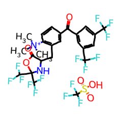 C[N+](C)(C)c1ccc(C(=O)c2cc(C(F)(F)F)cc(C(F)(F)F)c2)cc1CC1NC(C(F)(F)F)(C(F)(F)F)OC1=O.O=S(=O)(O)C(F)(F)F